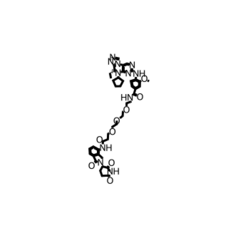 CC[C@@H]1c2nncn2-c2cnc(Nc3ccc(C(=O)NCCOCCOCCOCCC(=O)Nc4cccc5c4CN(C4CCC(=O)NC4=O)C5=O)cc3OC)nc2N1C1CCCC1